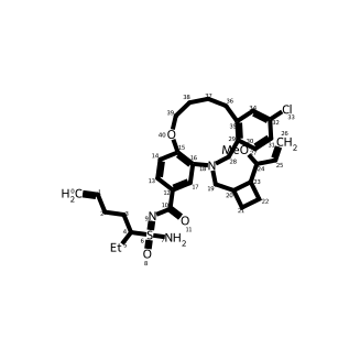 C=CCCC(CC)S(N)(=O)=NC(=O)c1ccc2c(c1)N(CC1CCC1C(C=C)OC)Cc1ccc(Cl)cc1CCCCO2